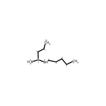 BB(BCCCCC)CCC